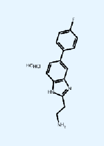 Cl.Cl.NCCc1nc2cc(-c3ccc(F)cc3)ccc2[nH]1